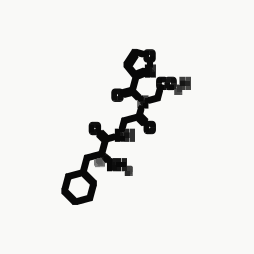 N[C@@H](CC1CCCCC1)C(=O)NCC(=O)N(CC(=O)O)C(=O)c1ccon1